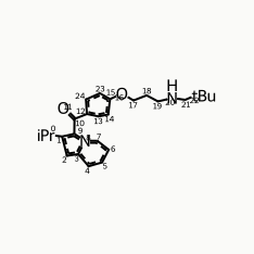 CC(C)c1cc2ccccn2c1C(=O)c1ccc(OCCCNCC(C)(C)C)cc1